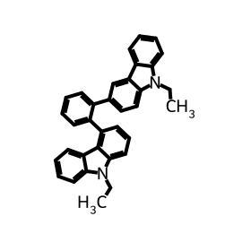 CCn1c2ccccc2c2cc(-c3ccccc3-c3cccc4c3c3ccccc3n4CC)ccc21